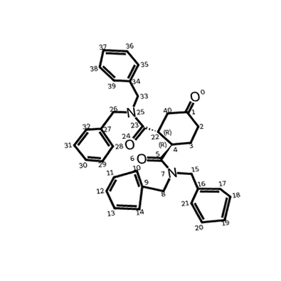 O=C1CC[C@@H](C(=O)N(Cc2ccccc2)Cc2ccccc2)[C@H](C(=O)N(Cc2ccccc2)Cc2ccccc2)C1